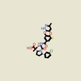 Cc1cc(Oc2c(C)cc(C(=O)N[C@H](C)C(=O)N3[C@H](c4cccc(Cl)c4)CC[C@@H]3C(C)(C)C(=O)O)cc2F)c(=O)[nH]n1